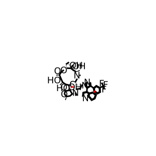 CC[C@H]1OC(=O)[C@H](C)[C@@H](O)[C@H](C)[C@@H](O[C@@H]2O[C@H](C)CC(N(C)CCCn3ncc(-c4cccc(C(F)(F)F)c4)c3-c3ccnc4ccccc34)[C@H]2O)[C@](C)(O)C[C@@H](C)CN(C)[C@H](C)[C@@H](O)[C@]1(C)O